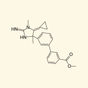 COC(=O)c1cccc(-c2cccc(C3(C)NC(=N)N(C)C3=C3CC3)c2)c1